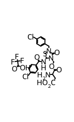 NC(CC(=O)O)C(=O)OCN1C(=O)N(Cc2ccc(Cl)cc2)SC1NC(=O)c1ccc(Cl)cc1.O=C(O)C(F)(F)F